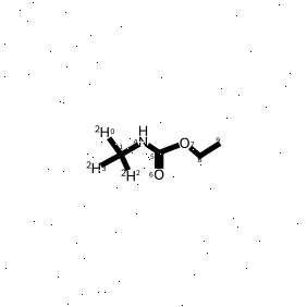 [2H]C([2H])([2H])NC(=O)OCC